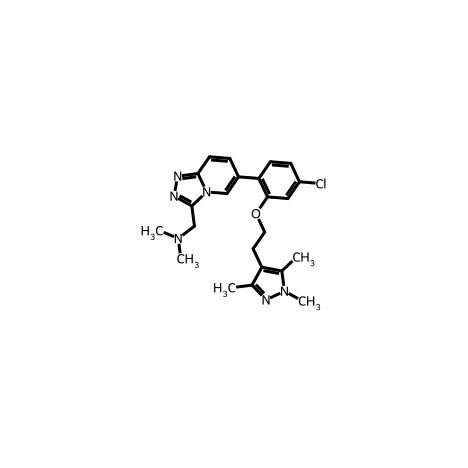 Cc1nn(C)c(C)c1CCOc1cc(Cl)ccc1-c1ccc2nnc(CN(C)C)n2c1